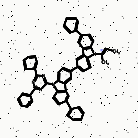 C/C=C(\C)n1c2ccc(-c3ccccc3)cc2c2cc(-c3ccc4c(c3)c3cc(-c5ccccc5)ccc3n4-c3nc(-c4ccccc4)nc(-c4ccccc4)n3)ccc21